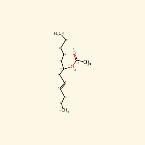 CCCC=CCC(CCCCC)OC(C)=O